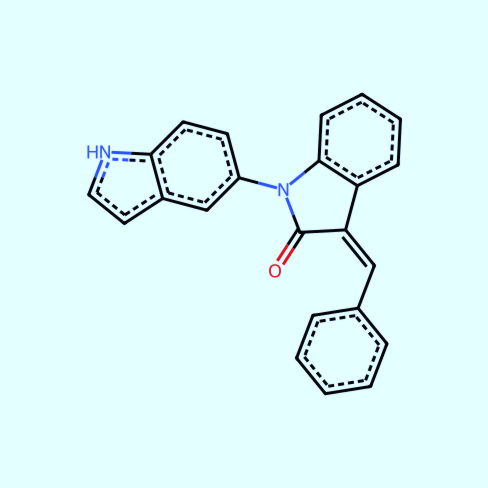 O=C1/C(=C\c2ccccc2)c2ccccc2N1c1ccc2[nH]ccc2c1